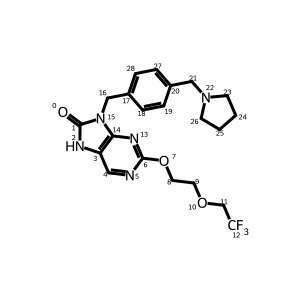 O=c1[nH]c2cnc(OCCOCC(F)(F)F)nc2n1Cc1ccc(CN2CCCC2)cc1